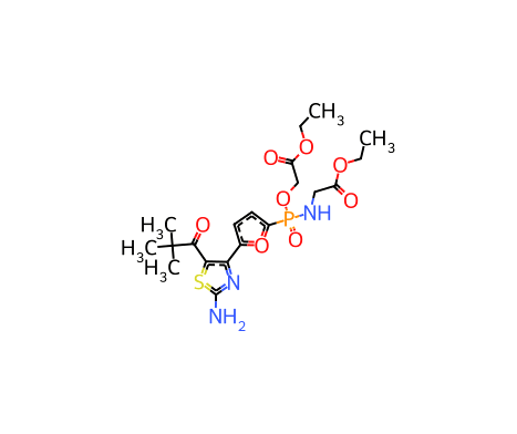 CCOC(=O)CNP(=O)(OCC(=O)OCC)c1ccc(-c2nc(N)sc2C(=O)C(C)(C)C)o1